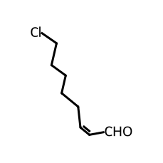 O=C/C=C\CCCCCCl